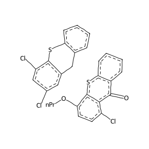 CCCOc1ccc(Cl)c2c(=O)c3ccccc3sc12.Clc1cc(Cl)c2c(c1)Cc1ccccc1S2